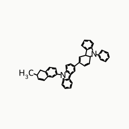 CC1C=Cc2cc(-n3c4ccccc4c4cc(C5=CC6c7ccccc7N(c7ccccc7)C6C=C5)ccc43)ccc2C1